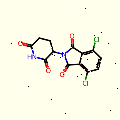 O=C1CCC(N2C(=O)c3c(Cl)ccc(Cl)c3C2=O)C(=O)N1